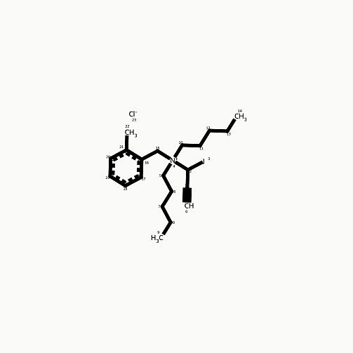 C#CC(I)[N+](CCCCC)(CCCCC)Cc1ccccc1C.[Cl-]